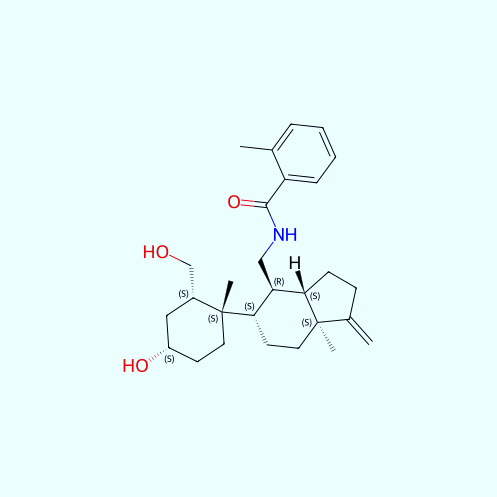 C=C1CC[C@H]2[C@H](CNC(=O)c3ccccc3C)[C@@H]([C@]3(C)CC[C@H](O)C[C@@H]3CO)CC[C@]12C